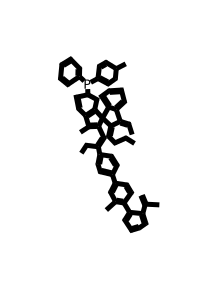 C=C(C)c1ccccc1-c1ccc(-c2ccc(/C(=C/C3=C(C)C4=C(CC(P(C5=CCC(C)C=C5)c5ccccc5)C=C4)C34C(=C/CCC)/C(=C\C)c3ccccc34)CC)cc2)cc1C